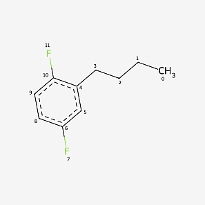 CCCCc1cc(F)ccc1F